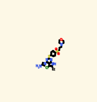 CCc1[nH]c2nc(Sc3ccc(S(=O)(=O)CCCN4CCOCC4)cc3)nc(N3CC(N)C3)c2c1Cl